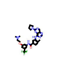 Cc1ccc(C(=O)Nc2cc(OCCN(C)C)cc(C(F)(F)F)c2)cc1Nc1ncnc2cnc(N3CCCC3)nc12